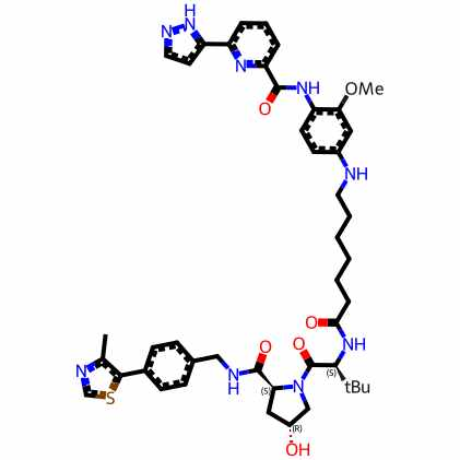 COc1cc(NCCCCCCC(=O)N[C@H](C(=O)N2C[C@H](O)C[C@H]2C(=O)NCc2ccc(-c3scnc3C)cc2)C(C)(C)C)ccc1NC(=O)c1cccc(-c2ccn[nH]2)n1